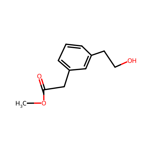 COC(=O)Cc1cccc(CCO)c1